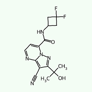 CC(C)(O)c1nn2c(C(=O)NC3CC(F)(F)C3)ccnc2c1C#N